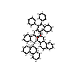 c1ccc(-c2c(-c3ccccc3)c3cc(-c4ccccc4N(c4cccc5c4ccc4ccccc45)c4cc5ccccc5c5ccccc45)ccc3c3ccccc23)cc1